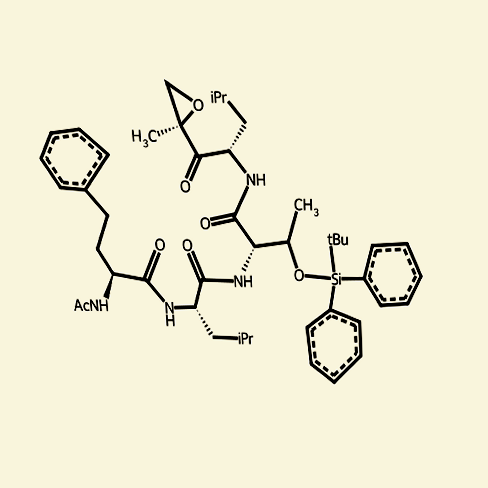 CC(=O)N[C@@H](CCc1ccccc1)C(=O)N[C@@H](CC(C)C)C(=O)N[C@H](C(=O)N[C@@H](CC(C)C)C(=O)[C@@]1(C)CO1)C(C)O[Si](c1ccccc1)(c1ccccc1)C(C)(C)C